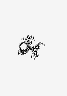 COc1ccc(-c2nn([C@H]3C[C@H]4C(=O)N[C@]5(C(=O)O)C[C@H]5/C=C\CCCCC[C@H](NC(=O)OC(C)(C)C)C(=O)N4C3)nc2-c2cccc(OC)c2)cc1